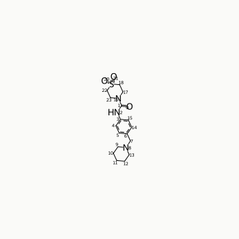 O=C(Nc1ccc(CN2CCCCC2)cc1)N1CCS(=O)(=O)CC1